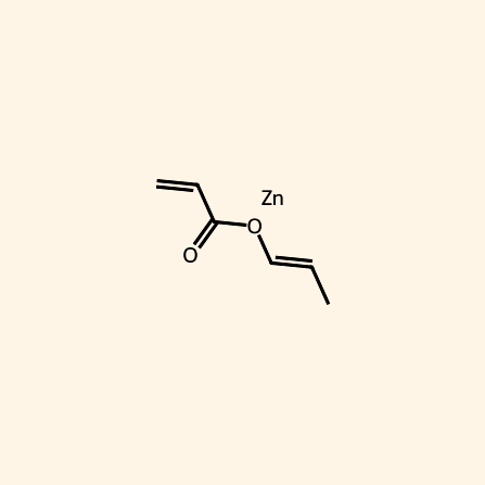 C=CC(=O)OC=CC.[Zn]